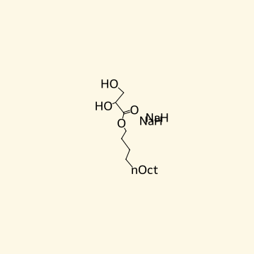 CCCCCCCCCCCCOC(=O)C(O)CO.[NaH].[NaH]